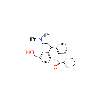 CC(C)N(CCC(c1ccccc1)c1cc(CO)ccc1OC(=O)C1CCCCC1)C(C)C